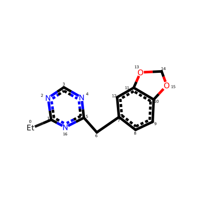 CCc1ncnc(Cc2ccc3c(c2)OCO3)n1